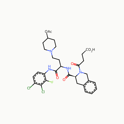 CC(=O)OC1CCN(CCC(NC(=O)[C@@H]2Cc3ccccc3CN2C(=O)CCC(=O)O)C(=O)Nc2ccc(Cl)c(Cl)c2F)CC1